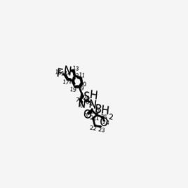 BC1(C(=O)Nc2ncc(-c3ccc4cnc(F)cc4c3)s2)CCCOC1